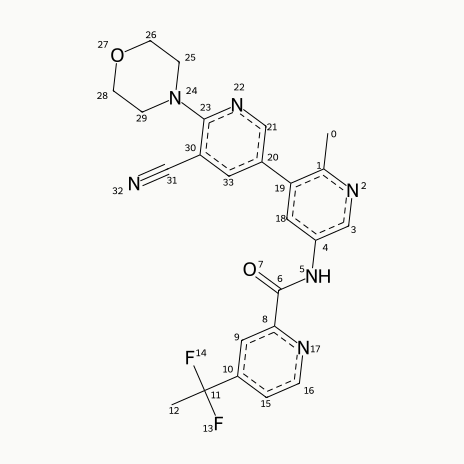 Cc1ncc(NC(=O)c2cc(C(C)(F)F)ccn2)cc1-c1cnc(N2CCOCC2)c(C#N)c1